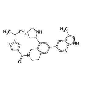 Cc1c[nH]c2ncc(-c3cc4c(c(C5CCCN5)c3)CN(C(=O)c3cnn(C(C)C)c3)CC4)cc12